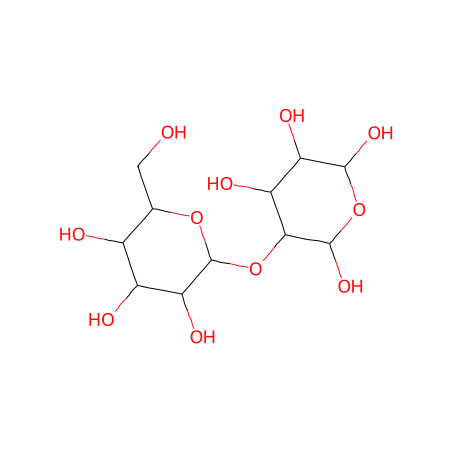 OCC1OC(OC2C(O)OC(O)C(O)C2O)C(O)C(O)C1O